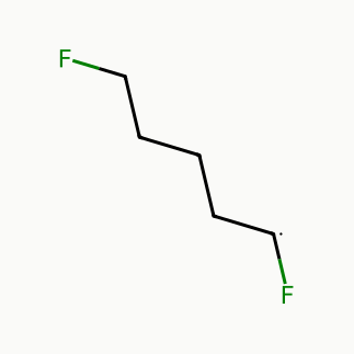 F[CH]CCCCF